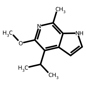 COc1nc(C)c2[nH]ccc2c1C(C)C